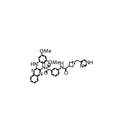 COc1cc(Nc2nc3ccccc3nc2NS(=O)(=O)c2cccc(NC(=O)C3CN(Cc4c[nH]cn4)C3)c2)cc(OC)c1